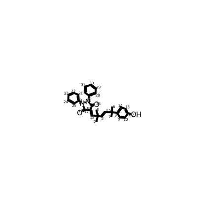 CC(C)(C=CC(C)(C)c1ccc(O)cc1)C=C1C(=O)N(c2ccccc2)N(c2ccccc2)C1=O